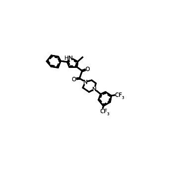 Cc1[nH]c(-c2ccccc2)cc1C(=O)C(=O)N1CCN(c2cc(C(F)(F)F)cc(C(F)(F)F)c2)CC1